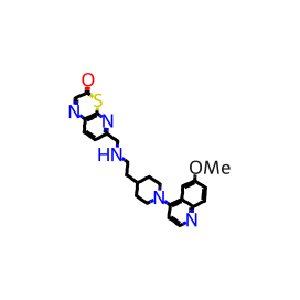 COc1ccc2nccc(N3CCC(CCNCc4ccc5ncc(=O)sc5n4)CC3)c2c1